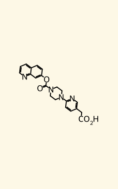 O=C(O)Cc1ccc(N2CCN(C(=O)Oc3ccc4cccnc4c3)CC2)nc1